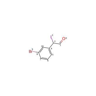 O=CC(I)c1cccc(Br)c1